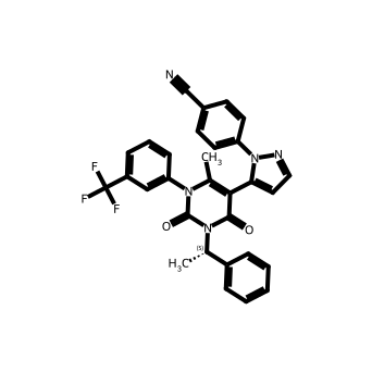 Cc1c(-c2ccnn2-c2ccc(C#N)cc2)c(=O)n([C@@H](C)c2ccccc2)c(=O)n1-c1cccc(C(F)(F)F)c1